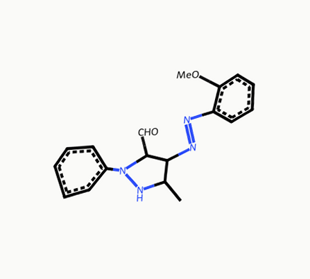 COc1ccccc1N=NC1C(C)NN(c2ccccc2)C1C=O